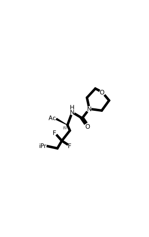 CC(=O)[C@H](CC(F)(F)CC(C)C)NC(=O)N1CCOCC1